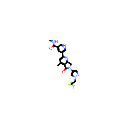 CNC(=O)c1cncc(-c2cc(C)c3c(n2)CN(c2cnn(CC(F)(F)F)c2)C3=O)c1